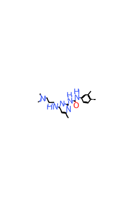 Cc1cc(NCCCN(C)C)nc(NC(=O)Nc2ccc(C)c(C)c2)n1